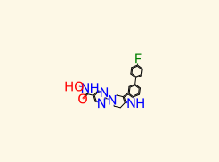 O=C(NO)c1cnc(N2CCc3[nH]c4ccc(-c5ccc(F)cc5)cc4c3C2)nc1